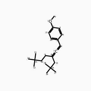 COc1ccc(C=C=C(CCC(C)(C)C)CC(C)(C)C)cc1